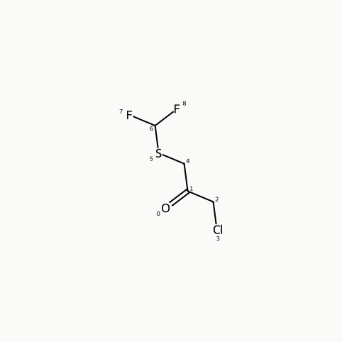 O=C(CCl)CSC(F)F